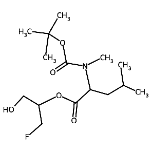 CC(C)CC(C(=O)OC(CO)CF)N(C)C(=O)OC(C)(C)C